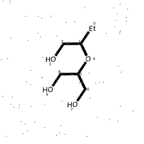 CCC(CO)OC(CO)CO